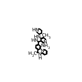 C=C(Nc1ccccn1)c1ccc(C(=N)c2c(N)ncc(C)c2NC2CCCNC2)cc1